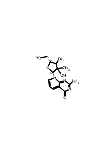 CC1(O)C(O)[C@@H](CO)O[C@H]1n1cccc2c(=O)nc(N)nc1-2